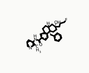 Cc1ncccc1NC(=O)c1ccc2c(c1)CC[C@@H]1C[C@@](O)(CCCF)CC[C@@]21Cc1ccccc1